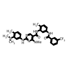 CNc1nc(Nc2ccc(C)c(N(C)C)c2)ncc1C(=O)Nc1cc(NC(=O)c2cccc(C(F)(F)F)c2)ccc1C